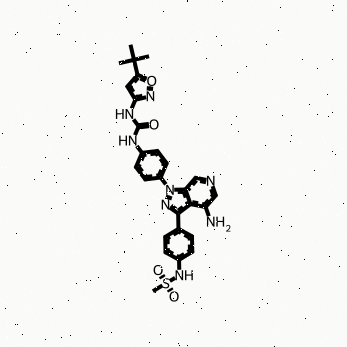 CC(C)(C)c1cc(NC(=O)Nc2ccc(-n3nc(-c4ccc(NS(C)(=O)=O)cc4)c4c(N)cncc43)cc2)no1